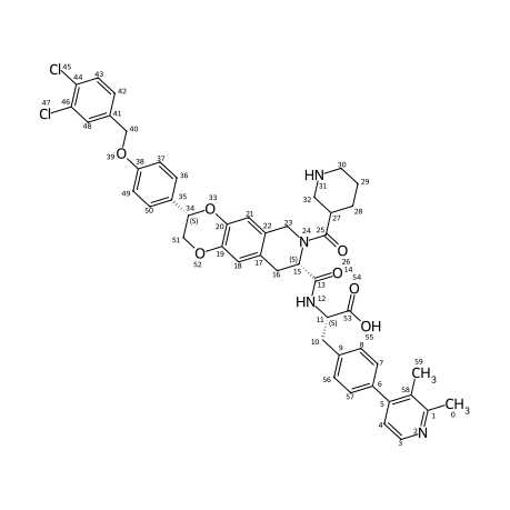 Cc1nccc(-c2ccc(C[C@H](NC(=O)[C@@H]3Cc4cc5c(cc4CN3C(=O)C3CCCNC3)O[C@@H](c3ccc(OCc4ccc(Cl)c(Cl)c4)cc3)CO5)C(=O)O)cc2)c1C